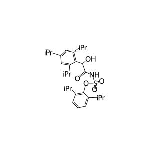 CC(C)c1cc(C(C)C)c(C(O)C(=O)NS(=O)(=O)Oc2c(C(C)C)cccc2C(C)C)c(C(C)C)c1